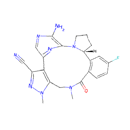 CN1Cc2c(c(C#N)nn2C)-c2cnc(N)c(n2)N2CCC[C@@H]2c2cc(F)ccc2C1=O